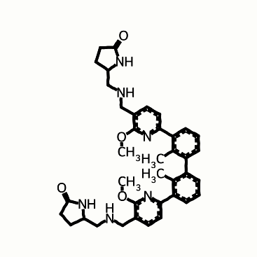 COc1nc(-c2cccc(-c3cccc(-c4ccc(CNCC5CCC(=O)N5)c(OC)n4)c3C)c2C)ccc1CNCC1CCC(=O)N1